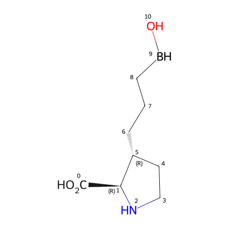 O=C(O)[C@@H]1NCC[C@H]1CCCBO